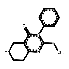 CSc1nc2c(c(=O)n1-c1ccccc1)CNCC2